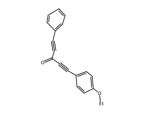 CCOc1ccc(C#CC(=O)C#Cc2ccccc2)cc1